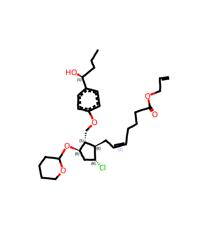 C=CCOC(=O)CCC/C=C\C[C@@H]1[C@@H](COc2ccc([C@@H](O)CCC)cc2)[C@H](OC2CCCCO2)C[C@H]1Cl